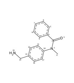 CN(C(=O)c1ccccc1)c1ccc(CN)cc1